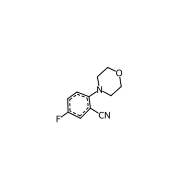 N#Cc1cc(F)ccc1N1CCOCC1